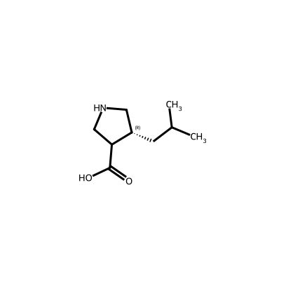 CC(C)C[C@H]1CNCC1C(=O)O